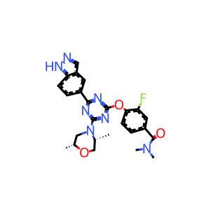 C[C@@H]1CN(c2nc(Oc3ccc(C(=O)N(C)C)cc3F)nc(-c3ccc4[nH]ncc4c3)n2)[C@H](C)CO1